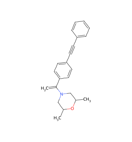 C=C(c1ccc(C#Cc2ccccc2)cc1)N1CC(C)OC(C)C1